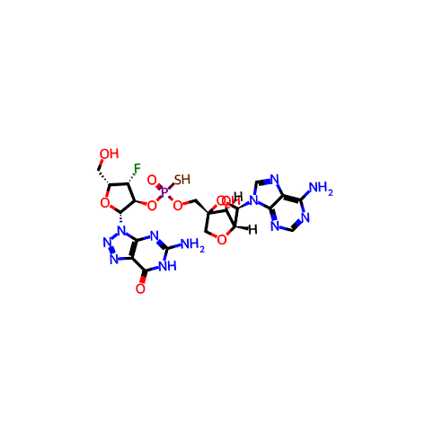 Nc1nc2c(nnn2[C@@H]2O[C@H](CO)[C@H](F)[C@H]2OP(=O)(S)OC[C@@]23CO[C@@H]([C@H](n4cnc5c(N)ncnc54)O2)[C@@H]3O)c(=O)[nH]1